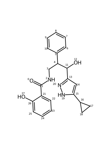 O=C(NCC(c1ccccc1)C(O)c1cc(C2CC2)[nH]n1)c1ccccc1O